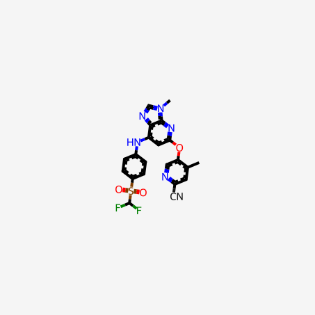 Cc1cc(C#N)ncc1Oc1cc(Nc2ccc(S(=O)(=O)C(F)F)cc2)c2ncn(C)c2n1